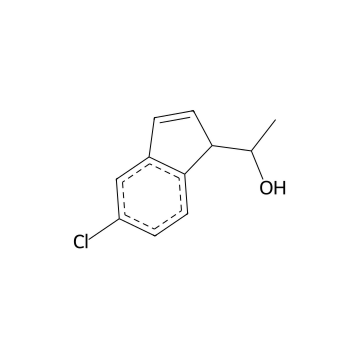 CC(O)C1C=Cc2cc(Cl)ccc21